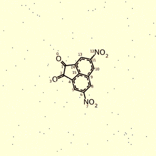 O=C1C(=O)c2cc([N+](=O)[O-])cc3cc([N+](=O)[O-])cc1c23